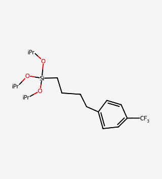 CC(C)O[Si](CCCCc1ccc(C(F)(F)F)cc1)(OC(C)C)OC(C)C